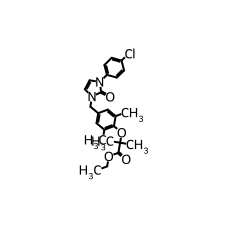 CCOC(=O)C(C)(C)Oc1c(C)cc(Cn2ccn(-c3ccc(Cl)cc3)c2=O)cc1C